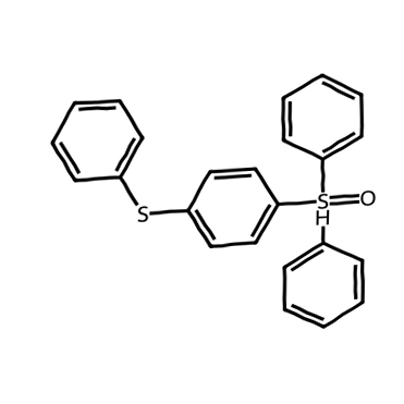 O=[SH](c1ccccc1)(c1ccccc1)c1ccc(Sc2ccccc2)cc1